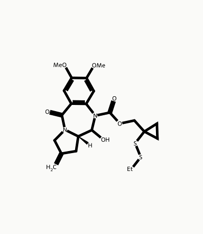 C=C1C[C@H]2C(O)N(C(=O)OCC3(SSCC)CC3)c3cc(OC)c(OC)cc3C(=O)N2C1